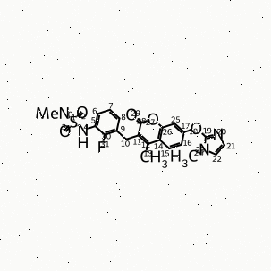 CNS(=O)(=O)Nc1cccc(Cc2c(C)c3ccc(Oc4nccn4C)cc3oc2=O)c1F